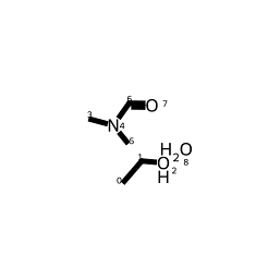 CCO.CN(C)C=O.O